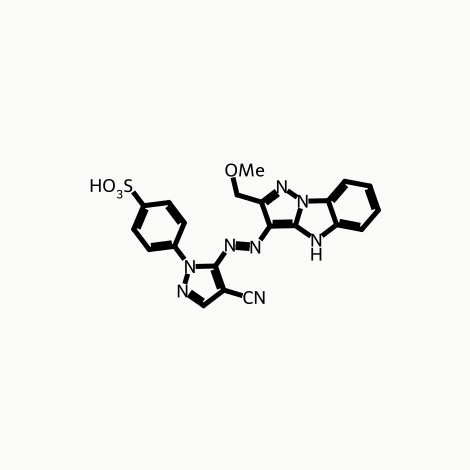 COCc1nn2c([nH]c3ccccc32)c1/N=N/c1c(C#N)cnn1-c1ccc(S(=O)(=O)O)cc1